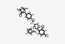 Cc1nn(C)c(=O)n1-c1ccc(OC[C@@H]2CO[C@@](Cn3ccnc3)(c3ccc(Cl)cc3Cl)O2)cc1